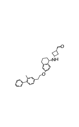 Cc1cc(CCOc2ccc3c(c2)CCC[C@H]3N[C@H]2C[C@H](C=O)C2)ccc1-c1ccccc1